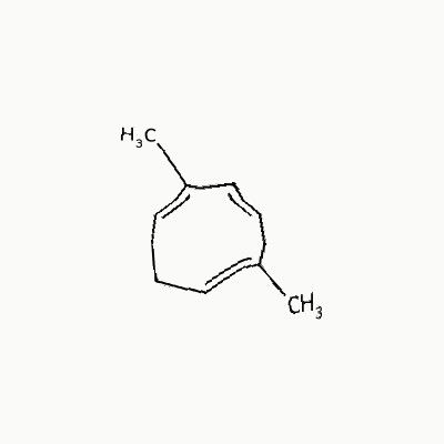 CC1=CCC=C(C)C=C1